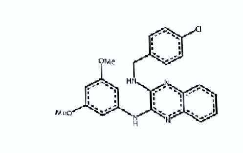 COc1cc(Nc2nc3ccccc3nc2NCc2ccc(Cl)cc2)cc(OC)c1